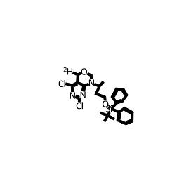 [2H]C1OCN(C(C)CCO[Si](c2ccccc2)(c2ccccc2)C(C)(C)C)c2nc(Cl)nc(Cl)c21